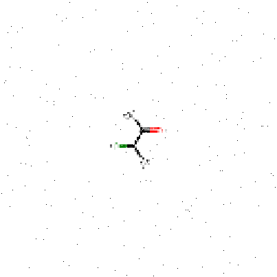 CC(=O)C(F)C(=O)C(C)(C)C